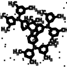 Cc1cc(C)cc(N(c2cc(C)cc(C)c2)c2ccc3c(c2)C(C)(C)c2cc(N(c4cc(C)cc(C)c4)c4cc(C)cc(C)c4)cc4c5cc(N(c6cc(C)cc(C)c6)c6cc(C)cc(C)c6)ccc5n-3c24)c1